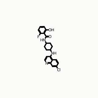 O=C(NC1CCC(Nc2ccnc3cc(Cl)ccc23)CC1)c1c(O)cccc1F